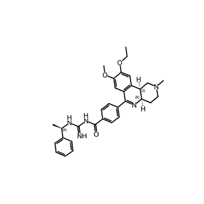 CCOc1cc2c(cc1OC)C(c1ccc(C(=O)NC(=N)N[C@H](C)c3ccccc3)cc1)=N[C@@H]1CCN(C)C[C@H]21